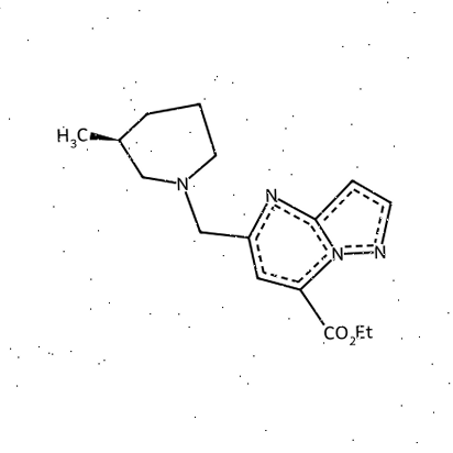 CCOC(=O)c1cc(CN2CCC[C@H](C)C2)nc2ccnn12